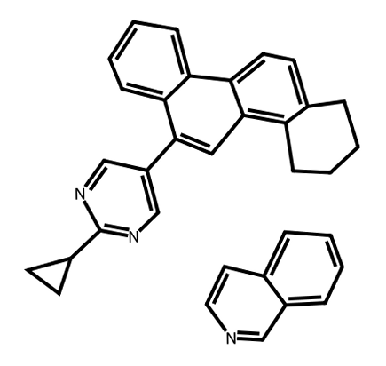 c1ccc2c(c1)c(-c1cnc(C3CC3)nc1)cc1c3c(ccc12)CCCC3.c1ccc2cnccc2c1